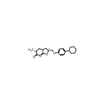 C[C@@H]1CN2C[C@@H](COc3ccc(C4CCCCC4)cc3)OC2=NC1=O